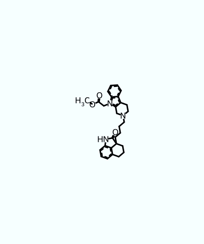 COC(=O)Cn1c2c(c3ccccc31)CCN(CCCCC13CCCc4cccc(c41)NC3=O)C2